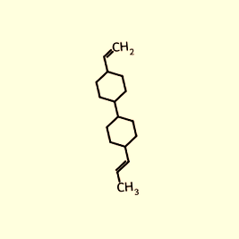 C=CC1CCC(C2CCC(C=CC)CC2)CC1